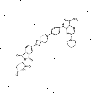 NC(=O)c1ncc(N2CCCCC2)nc1Nc1ccc(N2CCC3(CC2)CN(c2ccc4c(c2)C(=O)N(C2CCC(=O)NC2=O)C4=O)C3)cc1